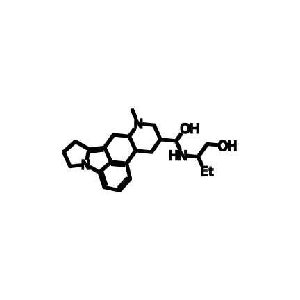 CCC(CO)NC(O)C1CC2c3cccc4c3c(c3n4CCC3)CC2N(C)C1